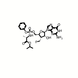 CC(C)OC(=O)[C@H](C)N[P@](=O)(OC[C@H]1O[C@@H](n2cnc3c(=O)[nH]c(N)nc32)[C@H](O)[C@@H]1CF)Oc1ccccc1